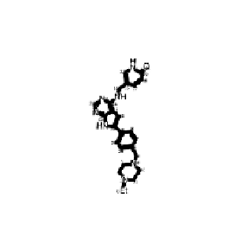 CCN1CCN(Cc2ccc(-c3cc4c(NCc5ccc(=O)[nH]c5)ncnc4[nH]3)cc2)CC1